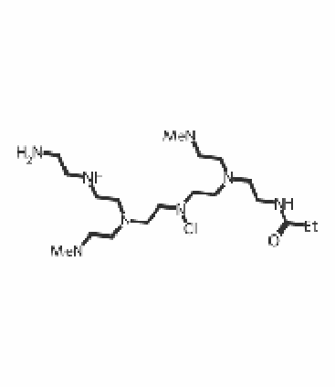 CCC(=O)NCCN(CCNC)CCN(Cl)CCN(CCNC)CCNCCN